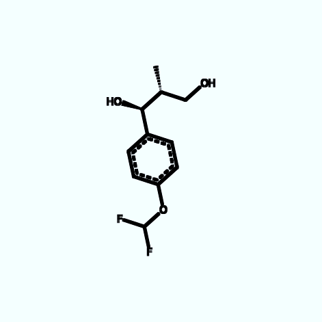 C[C@H](CO)[C@H](O)c1ccc(OC(F)F)cc1